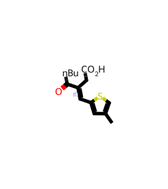 CCCCC(=O)/C(=C/c1cc(C)cs1)CC(=O)O